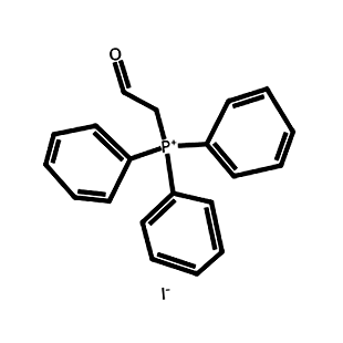 O=CC[P+](c1ccccc1)(c1ccccc1)c1ccccc1.[I-]